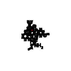 CCCC(N)C(F)(F)C(=O)C(CC1CCCCC1)N(C(=O)[C@H](Cc1ccc(OC)cc1)NC(=O)CC(C)C)C(=O)[C@@H](N)C(C)C